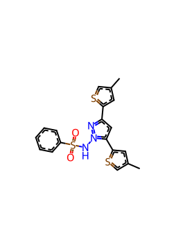 Cc1csc(-c2cc(-c3cc(C)cs3)n(NS(=O)(=O)c3ccccc3)n2)c1